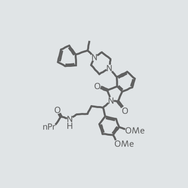 CCCC(=O)NCCCC(c1ccc(OC)c(OC)c1)N1C(=O)c2cccc(N3CCN(C(C)c4ccccc4)CC3)c2C1=O